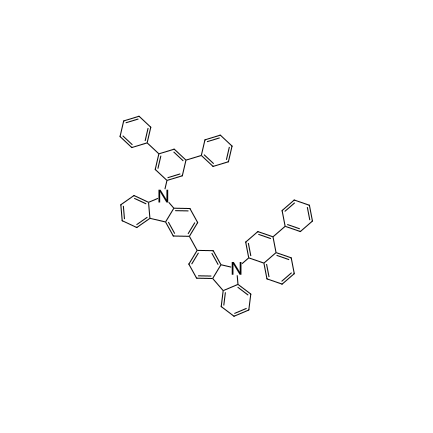 c1ccc(-c2cc(-c3ccccc3)cc(-n3c4ccccc4c4cc(-c5ccc6c7ccccc7n(-c7ccc(-c8ccccc8)c8ccccc78)c6c5)ccc43)c2)cc1